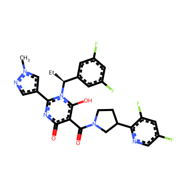 CC[C@@H](c1cc(F)cc(F)c1)n1c(-c2cnn(C)c2)nc(=O)c(C(=O)N2CCC(c3ncc(F)cc3F)C2)c1O